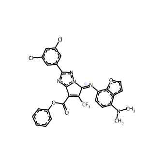 CN(C)c1ccc(/N=C2\C(C(F)(F)F)=C(C(=O)Oc3ccccc3)c3nc(-c4cc(Cl)cc(Cl)c4)nn32)c2occc12